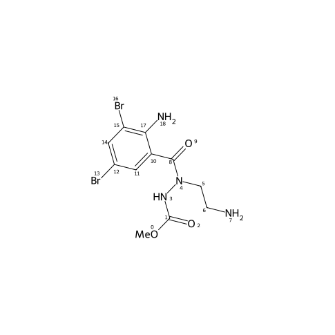 COC(=O)NN(CCN)C(=O)c1cc(Br)cc(Br)c1N